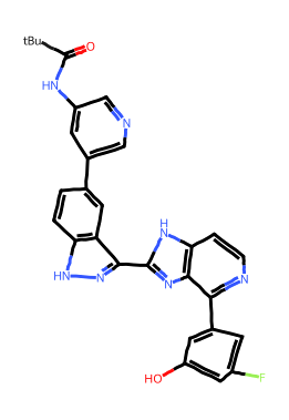 CC(C)(C)C(=O)Nc1cncc(-c2ccc3[nH]nc(-c4nc5c(-c6cc(O)cc(F)c6)nccc5[nH]4)c3c2)c1